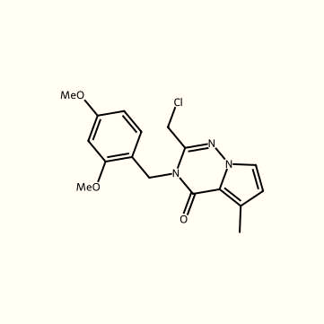 COc1ccc(Cn2c(CCl)nn3ccc(C)c3c2=O)c(OC)c1